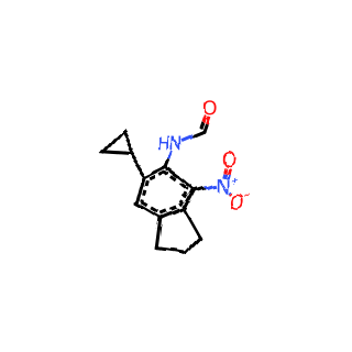 O=CNc1c(C2CC2)cc2c(c1[N+](=O)[O-])CCC2